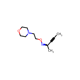 CC#C/C(C)=N\OCCN1CCOCC1